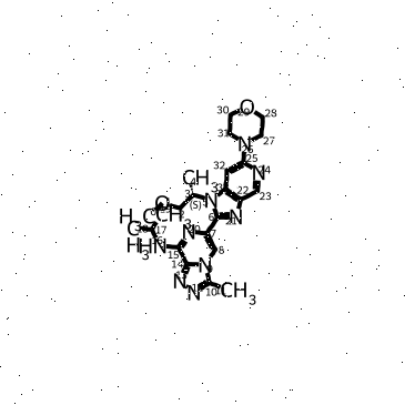 COC[C@H](C)n1c(-c2cn3c(C)nnc3c(NC(C)C)n2)nc2cnc(N3CCOCC3)cc21